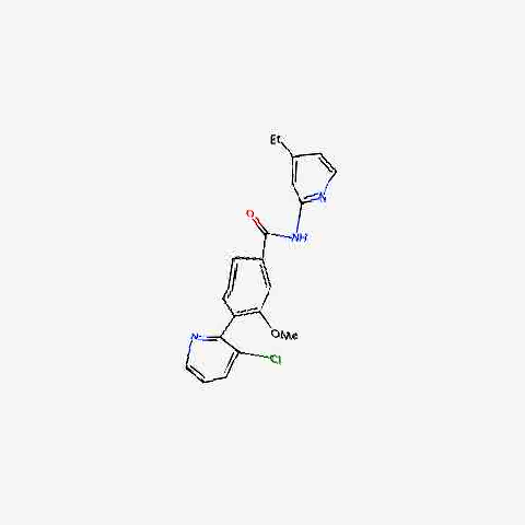 CCc1ccnc(NC(=O)c2ccc(-c3ncccc3Cl)c(OC)c2)c1